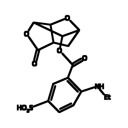 CCNc1ccc(S(=O)(=O)O)cc1C(=O)OC1C2CC3C(=O)OC1C3O2